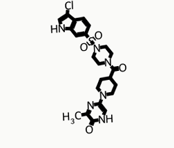 Cc1nc(N2CCC(C(=O)N3CCN(S(=O)(=O)c4ccc5c(Cl)c[nH]c5c4)CC3)CC2)c[nH]c1=O